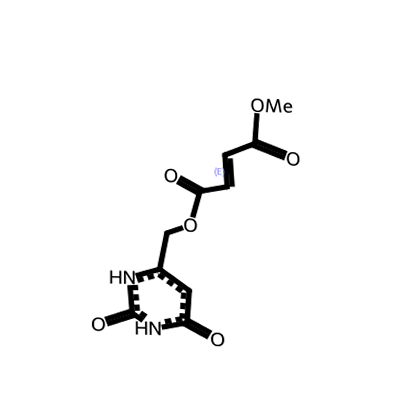 COC(=O)/C=C/C(=O)OCc1cc(=O)[nH]c(=O)[nH]1